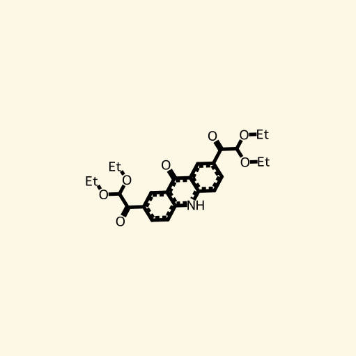 CCOC(OCC)C(=O)c1ccc2[nH]c3ccc(C(=O)C(OCC)OCC)cc3c(=O)c2c1